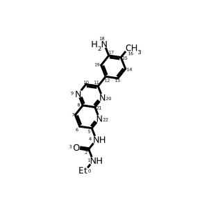 CCNC(=O)Nc1ccc2ncc(-c3ccc(C)c(N)c3)nc2n1